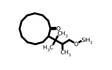 CC(CO[SiH3])C(C)(C)C1CCCCCCCCCCC1=O